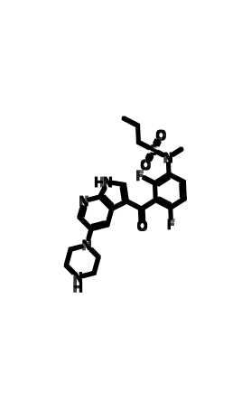 CCCS(=O)(=O)N(C)c1ccc(F)c(C(=O)c2c[nH]c3ncc(N4CCNCC4)cc23)c1F